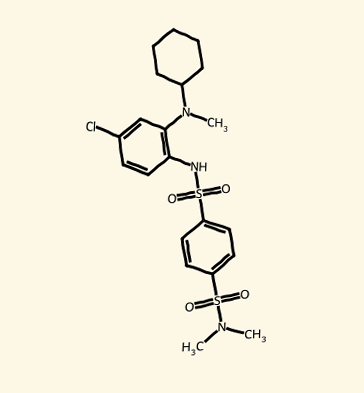 CN(c1cc(Cl)ccc1NS(=O)(=O)c1ccc(S(=O)(=O)N(C)C)cc1)C1CCCCC1